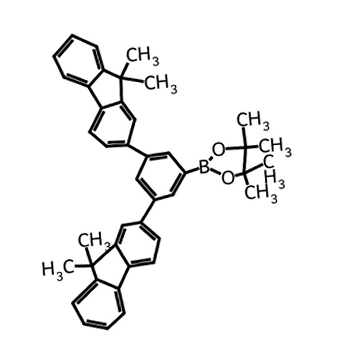 CC1(C)c2ccccc2-c2ccc(-c3cc(B4OC(C)(C)C(C)(C)O4)cc(-c4ccc5c(c4)C(C)(C)c4ccccc4-5)c3)cc21